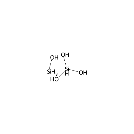 O[SiH3].O[SiH](O)O